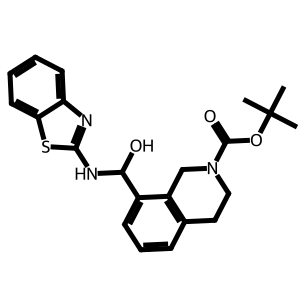 CC(C)(C)OC(=O)N1CCc2cccc(C(O)Nc3nc4ccccc4s3)c2C1